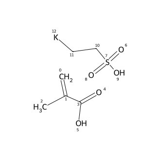 C=C(C)C(=O)O.O=S(=O)(O)C[CH2][K]